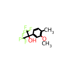 COc1cc(C(O)(C(F)(F)F)C(F)(F)F)ccc1C